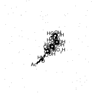 CC(=O)CCCCC(=O)NCCO[C@@H]1OC(CO)[C@@H](O[C@@H]2OC(C(=O)O)[C@@H](O[C@H]3OC(CO)[C@H](O[C@H]4OC(CO)[C@@H](O)[C@H](O)C4O)[C@H](O)C3O)[C@H](O)C2O)[C@H](O)C1O